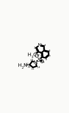 Cc1cncc2cccc(S(=O)(=O)N3CC[C@@H](N)C3)c12